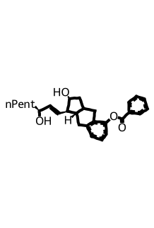 CCCCC[C@H](O)/C=C/[C@H]1[C@H](O)CC2Cc3c(cccc3OC(=O)c3ccccc3)C[C@@H]21